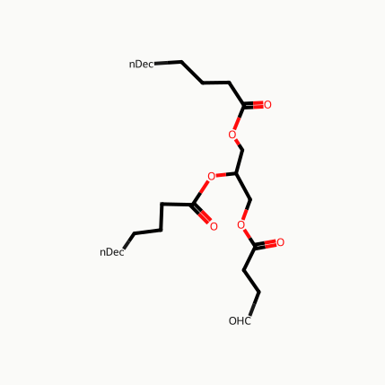 CCCCCCCCCCCCCC(=O)OCC(COC(=O)CCC=O)OC(=O)CCCCCCCCCCCCC